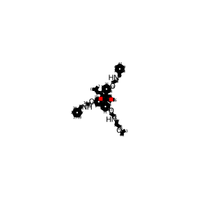 CC(C)CC[C](c1cccc(OCCNCc2ccccc2)c1)C(CC(C)C)(c1cccc(OCCNCc2ccccc2)c1)C(C)(C)c1cccc(OCCNCCCOC(C)C)c1